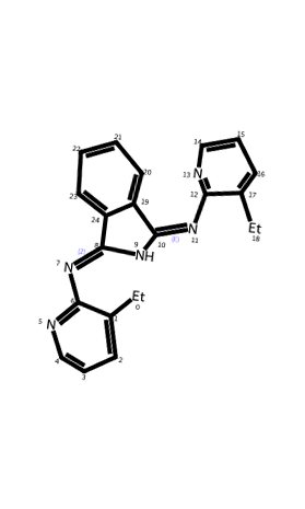 CCc1cccnc1/N=C1\N/C(=N/c2ncccc2CC)c2ccccc21